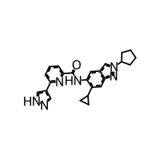 O=C(Nc1cc2cn(C3CCCC3)nc2cc1C1CC1)c1cccc(-c2cn[nH]c2)n1